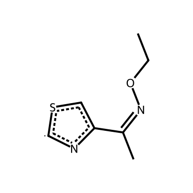 CCO/N=C(/C)c1cs[c]n1